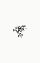 O=C(c1ccc2c(c1)OCO2)N1C2CCC1CC(c1ccc(F)cc1)C2